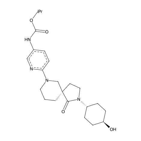 CC(C)OC(=O)Nc1ccc(N2CCC[C@@]3(CCN([C@H]4CC[C@H](O)CC4)C3=O)C2)nc1